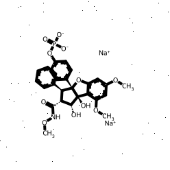 CONC(=O)[C@H]1[C@@H](O)[C@@]2(O)c3c(OC)cc(OC)cc3O[C@@]2(c2ccc(OP(=O)([O-])[O-])cc2)[C@@H]1c1ccccc1.[Na+].[Na+]